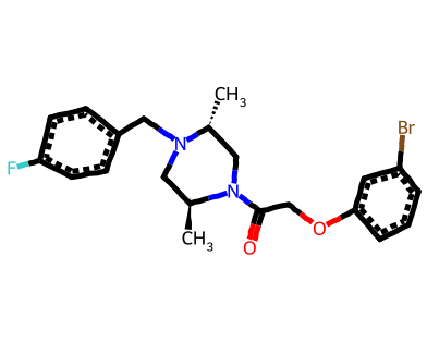 C[C@@H]1CN(C(=O)COc2cccc(Br)c2)[C@@H](C)CN1Cc1ccc(F)cc1